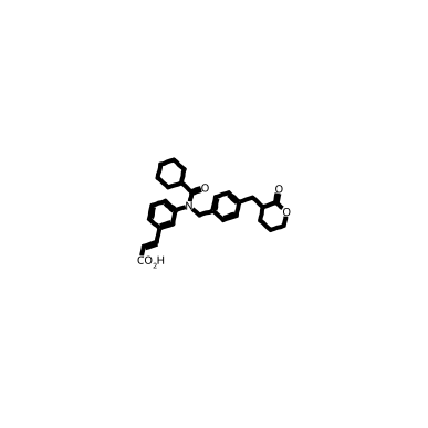 O=C(O)/C=C/c1cccc(N(Cc2ccc(CC3CCCOC3=O)cc2)C(=O)C2CCCCC2)c1